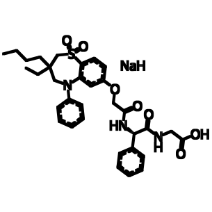 CCCCC1(CC)CN(c2ccccc2)c2cc(OCC(=O)N[C@@H](C(=O)NCC(=O)O)c3ccccc3)ccc2S(=O)(=O)C1.[NaH]